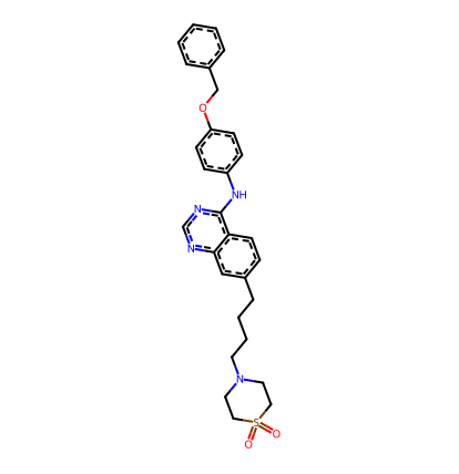 O=S1(=O)CCN(CCCCc2ccc3c(Nc4ccc(OCc5ccccc5)cc4)ncnc3c2)CC1